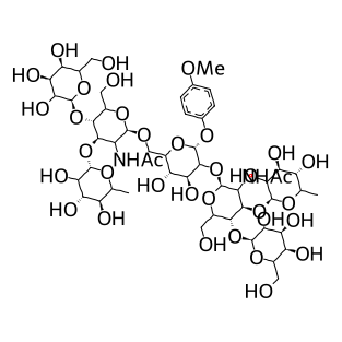 COc1ccc(O[C@H]2OC(CO[C@@H]3OC(CO)[C@@H](O[C@@H]4OC(CO)[C@H](O)[C@H](O)C4O)[C@H](O[C@@H]4OC(C)[C@@H](O)[C@H](O)C4O)C3NC(C)=O)[C@@H](O)[C@H](O)C2O[C@@H]2OC(CO)[C@@H](O[C@@H]3OC(CO)[C@H](O)[C@H](O)C3O)[C@H](O[C@@H]3OC(C)[C@@H](O)[C@H](O)C3O)C2NC(C)=O)cc1